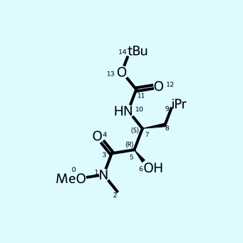 CON(C)C(=O)[C@H](O)[C@H](CC(C)C)NC(=O)OC(C)(C)C